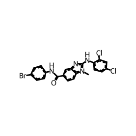 Cn1c(Nc2ccc(Cl)cc2Cl)nc2cc(C(=O)Nc3ccc(Br)cc3)ccc21